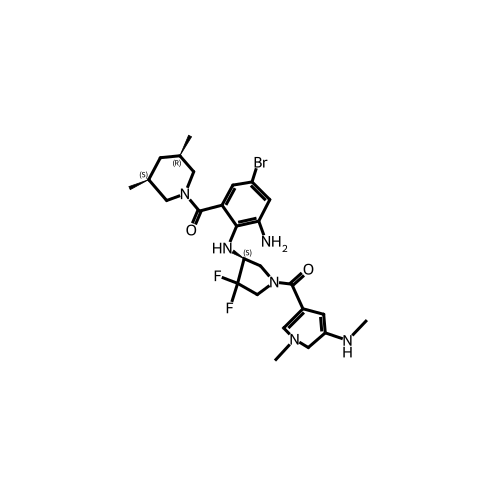 CNC1=CC(C(=O)N2C[C@H](Nc3c(N)cc(Br)cc3C(=O)N3C[C@H](C)C[C@H](C)C3)C(F)(F)C2)=CN(C)C1